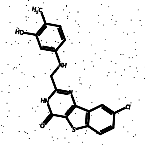 Cc1ccc(NCc2nc3c(sc4ccc(Cl)cc43)c(=O)[nH]2)cc1O